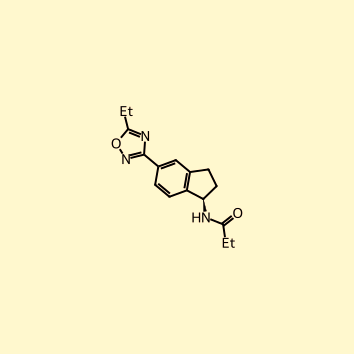 CCC(=O)N[C@@H]1CCc2cc(-c3noc(CC)n3)ccc21